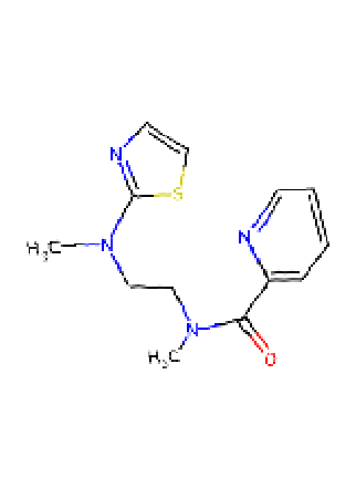 CN(CCN(C)c1nccs1)C(=O)c1ccccn1